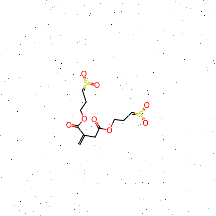 C=C(CC(=O)OCCC=S(=O)=O)C(=O)OCCC=S(=O)=O